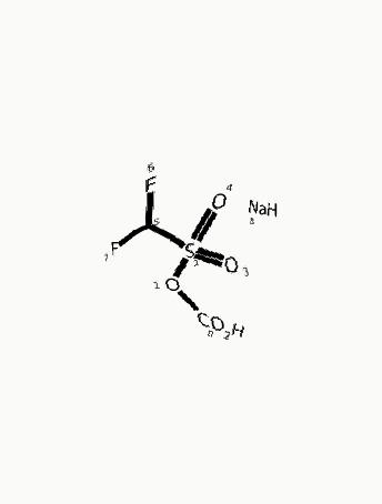 O=C(O)OS(=O)(=O)C(F)F.[NaH]